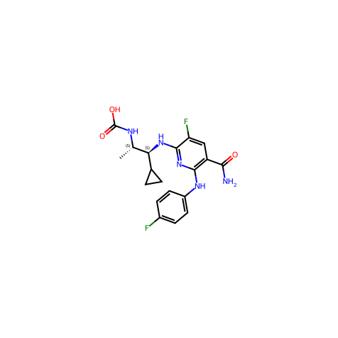 C[C@H](NC(=O)O)[C@@H](Nc1nc(Nc2ccc(F)cc2)c(C(N)=O)cc1F)C1CC1